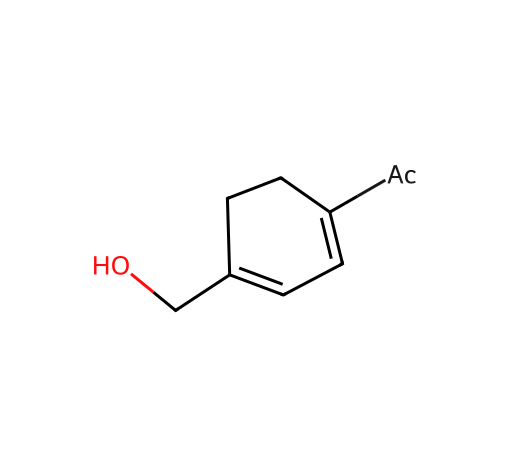 CC(=O)C1=CC=C(CO)CC1